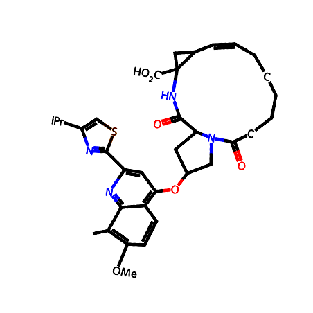 COc1ccc2c(OC3CC4C(=O)NC5(C(=O)O)CC5C=CCCCCCC(=O)N4C3)cc(-c3nc(C(C)C)cs3)nc2c1C